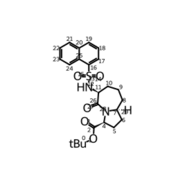 CC(C)(C)OC(=O)[C@@H]1CC[C@@H]2CCC[C@H](NS(=O)(=O)c3cccc4ccccc34)C(=O)N21